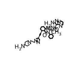 C[C@@H](NC(=O)c1c(N)nn2cccnc12)c1nc2cccc(C#Cc3cnn(CCN4CCC(N)CC4)c3)c2c(=O)n1-c1ccccc1